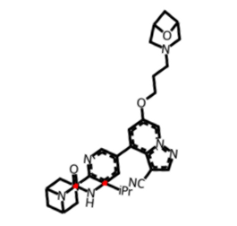 CC(C)CNC(=O)N1C2CC1CN(c1ccc(-c3cc(OCCCN4CC5CC(C4)O5)cn4ncc(C#N)c34)cn1)C2